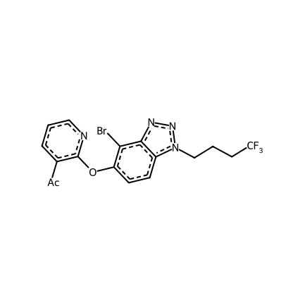 CC(=O)c1cccnc1Oc1ccc2c(nnn2CCCC(F)(F)F)c1Br